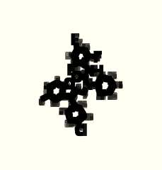 Cc1ccc2oc(CN(C(=O)Nc3c(F)cc(F)cc3F)c3ccccc3)c(-c3ccc(Cl)cc3)c2c1